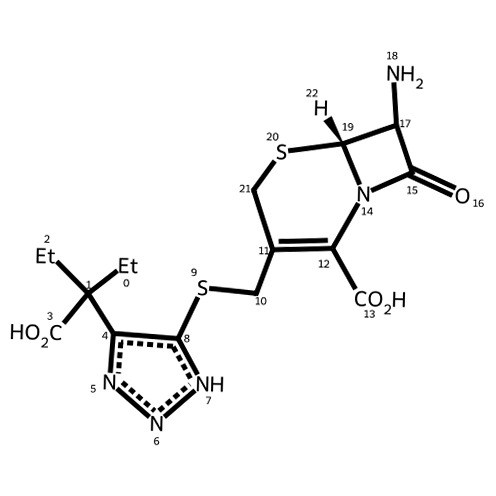 CCC(CC)(C(=O)O)c1nn[nH]c1SCC1=C(C(=O)O)N2C(=O)C(N)[C@H]2SC1